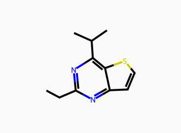 CCc1nc(C(C)C)c2sccc2n1